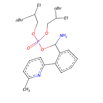 CCCCC(CC)COP(=O)(OCC(CC)CCCC)OC(N)c1ccccc1-c1cccc(C)n1